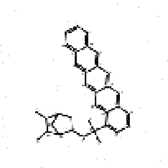 CC1C2CC(OC(C)(C)c3cccc4cc5cc6cc7ccccc7cc6cc5cc34)C(C2)C1C